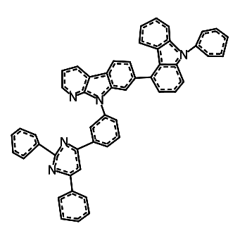 c1ccc(-c2cc(-c3cccc(-n4c5cc(-c6cccc7c6c6ccccc6n7-c6ccccc6)ccc5c5cccnc54)c3)nc(-c3ccccc3)n2)cc1